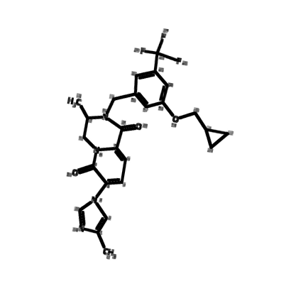 Cc1cn(-c2ccc3n(c2=O)CC(C)N(Cc2cc(OCC4CC4)cc(C(F)(F)F)c2)C3=O)cn1